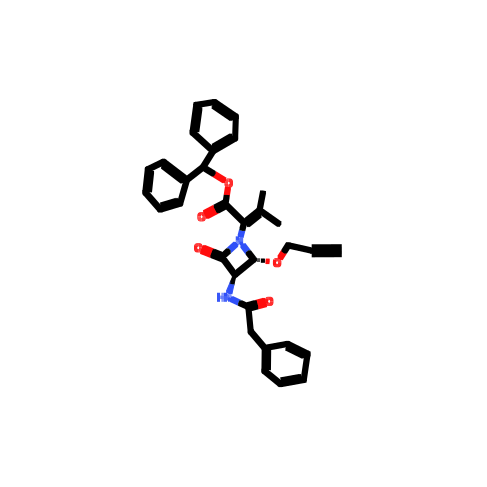 C#CCO[C@@H]1[C@@H](NC(=O)Cc2ccccc2)C(=O)N1C(C(=O)OC(c1ccccc1)c1ccccc1)=C(C)C